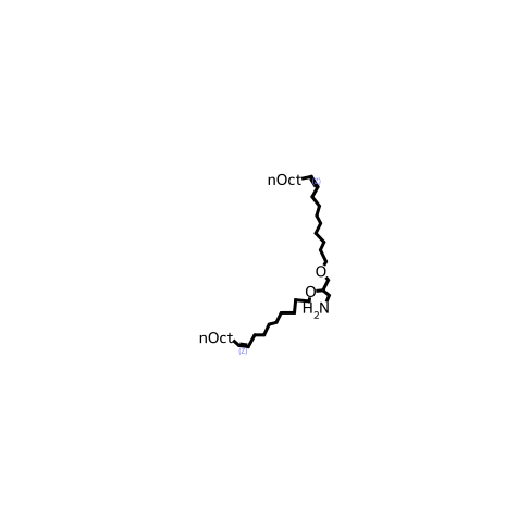 CCCCCCCC/C=C\CCCCCCCCOCC(CN)OCCCCCCCC/C=C\CCCCCCCC